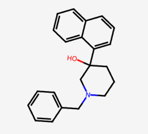 OC1(c2cccc3ccccc23)CCCN(Cc2ccccc2)C1